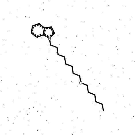 CCCCCCOCCCCCCCCn1ccc2ccccc21